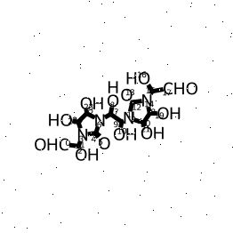 O=CC(O)N1C(=O)N(C(O)C(O)N2C(=O)N(C(O)C=O)C(O)C2O)C(O)C1O